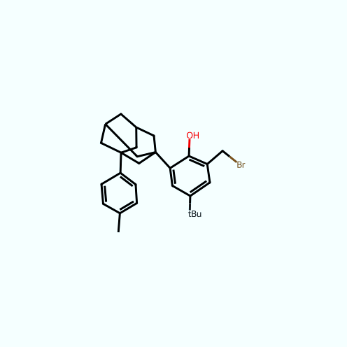 Cc1ccc(C23CC4CC(C2)CC(c2cc(C(C)(C)C)cc(CBr)c2O)(C4)C3)cc1